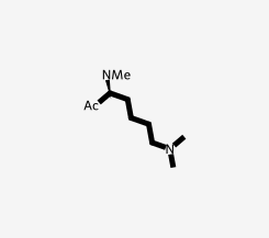 CN[C@@H](CCCCN(C)C)C(C)=O